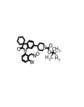 CC(C)(C)OC(=O)N1CCC(c2ccc3c(c2)N(c2cccc(Br)c2CN=O)C(=O)C32CCCCC2)CC1